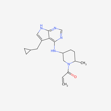 C=CC(=O)N1CC(Nc2ncnc3[nH]cc(CC4CC4)c23)CCC1C